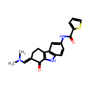 CN(C)C=C1CCc2c([nH]c3ccc(NC(=O)c4cccs4)cc23)C1=O